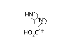 CC1CNCCC1N1CCCC1CC(F)C(=O)O